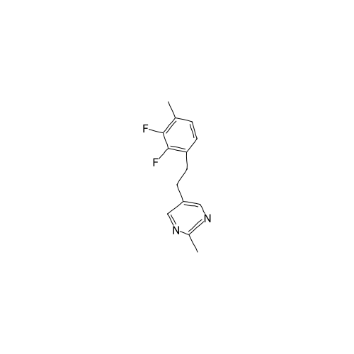 Cc1ncc(CCc2ccc(C)c(F)c2F)cn1